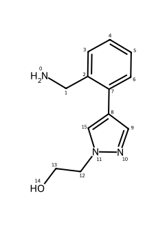 NCc1ccccc1-c1cnn(CCO)c1